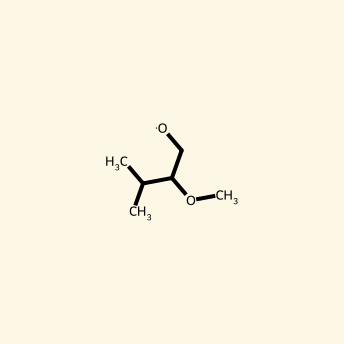 COC(C[O])C(C)C